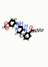 CNC(=O)c1ccccc1Nc1cc(Nc2ccc3c(c2)OCO3)ncc1C(F)(F)F